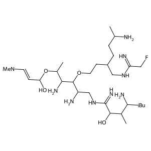 CCC(C)C(N)C(C)C(O)C(=N)NCC(N)C(OCCC(CCC(C)N)CNC(=N)CF)C(N)C(C)OC(O)/C=C/NC